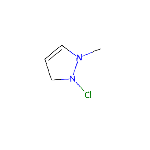 CN1C=CCN1Cl